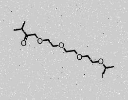 CC(I)OCCOCCOCCOCC(=O)C(C)C